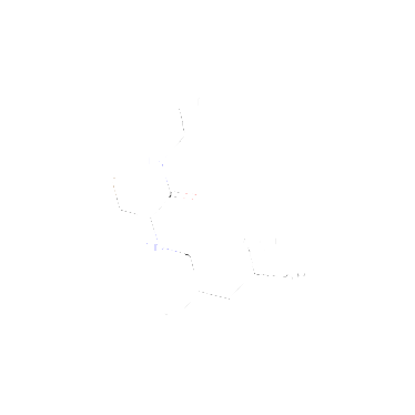 CNC(CC(C=O)CNC(CS)C(=O)NCC(=O)O)C(=O)O